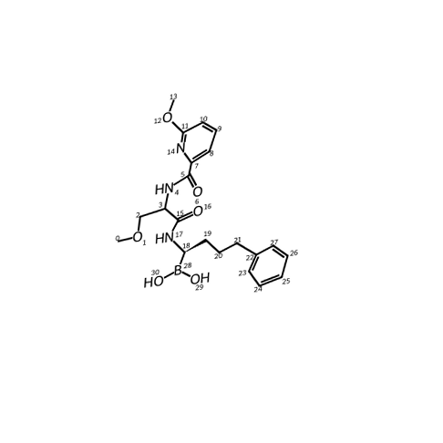 COCC(NC(=O)c1cccc(OC)n1)C(=O)N[C@@H](CCCc1ccccc1)B(O)O